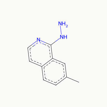 Cc1ccc2ccnc(NN)c2c1